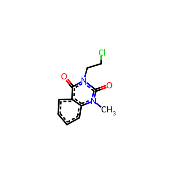 Cn1c(=O)n(CCCl)c(=O)c2ccccc21